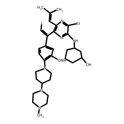 CCc1nc(C=C(C)C)c(/C(=C\I)c2ccc(N3CCC(N4CCN(C)CC4)CC3)c(OC)c2)nc1NC1CCCC(O)C1